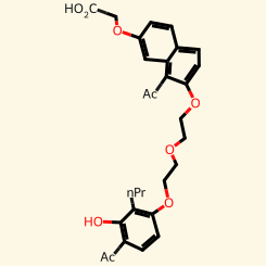 CCCc1c(OCCOCCOc2ccc3ccc(OCC(=O)O)cc3c2C(C)=O)ccc(C(C)=O)c1O